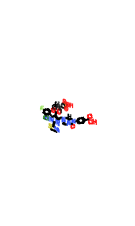 COC(=O)C1=C(CN2CCN3C(=O)N(c4ccc(C(=O)O)cc4)C[C@@H]3C2)N=C(c2nccs2)N[C@H]1c1ccc(F)cc1Cl.CS(=O)(=O)O